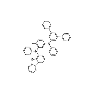 Cc1ccc(N(c2ccccc2)c2cc(-c3ccccc3)cc(-c3ccccc3)c2)cc1N(c1ccccc1)c1cccc2c1sc1ccccc12